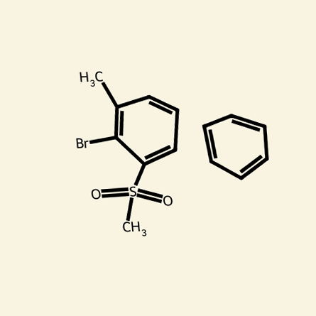 Cc1cccc(S(C)(=O)=O)c1Br.c1ccccc1